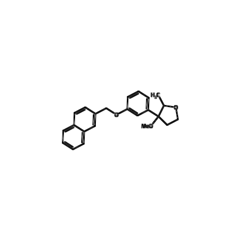 COC1(c2cccc(OCc3ccc4ccccc4c3)c2)CCOC1C